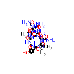 CC[C@H](C)[C@@H]1NC(=O)[C@H](Cc2ccc(O)cc2)NC(=O)CNC[C@@H](C(=O)N(C)CC(=O)N[C@@H](CCC(N)=O)C(=O)NCC(N)=O)NC(=O)[C@H](CC(N)=O)NC(=O)[C@H](CCC(N)=O)NC1=O